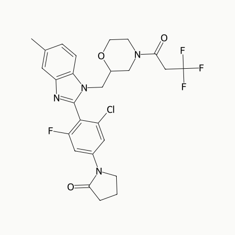 Cc1ccc2c(c1)nc(-c1c(F)cc(N3CCCC3=O)cc1Cl)n2CC1CN(C(=O)CC(F)(F)F)CCO1